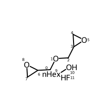 C(OCC1CO1)C1CO1.CCCCCCO.F